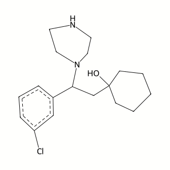 OC1(CC(c2cccc(Cl)c2)N2CCNCC2)CCCCC1